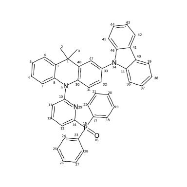 CC1(C)c2ccccc2N(c2cccc(P(=O)(c3ccccc3)c3ccccc3)n2)c2ccc(-n3c4ccccc4c4ccccc43)cc21